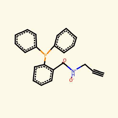 C#CC[NH+]([O-])C(=O)c1ccccc1P(c1ccccc1)c1ccccc1